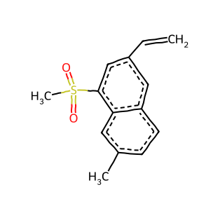 C=Cc1cc(S(C)(=O)=O)c2cc(C)ccc2c1